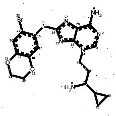 Nc1ncn(CCC(N)C2CC2)c2nc(Sc3cc4c(cc3Br)OCCO4)nc1-2